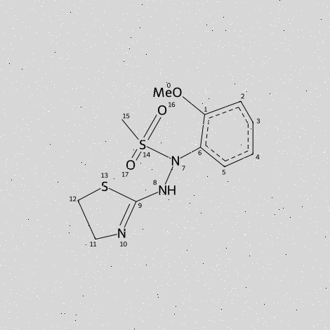 COc1ccccc1N(NC1=NCCS1)S(C)(=O)=O